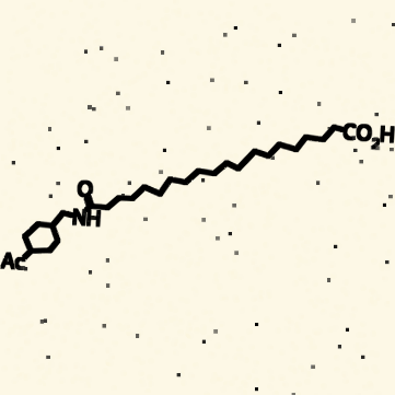 CC(=O)C1CCC(CNC(=O)CCCCCCCCCCCCCCCCCCC(=O)O)CC1